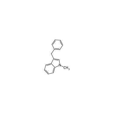 Cn1cc(Cc2ccccc2)c2ccccc21